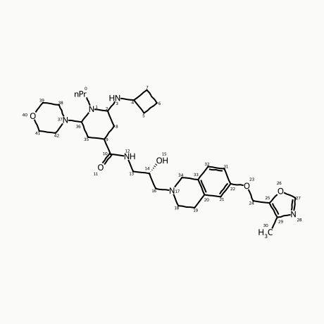 CCCN1C(NC2CCC2)CC(C(=O)NC[C@H](O)CN2CCc3cc(OCc4ocnc4C)ccc3C2)CC1N1CCOCC1